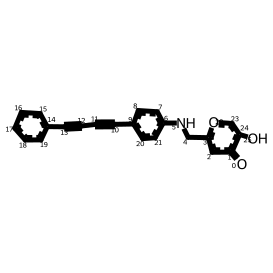 O=c1cc(CNc2ccc(C#CC#Cc3ccccc3)cc2)occ1O